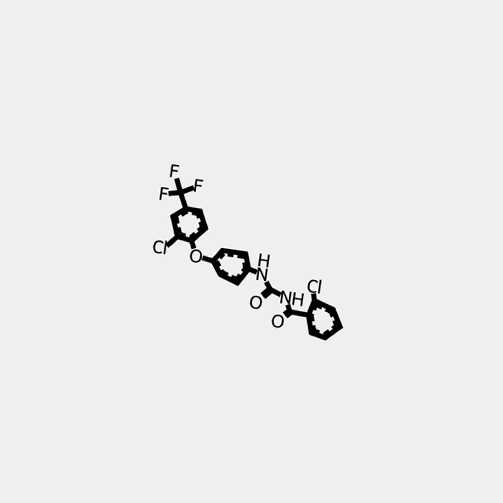 O=C(NC(=O)c1ccccc1Cl)Nc1ccc(Oc2ccc(C(F)(F)F)cc2Cl)cc1